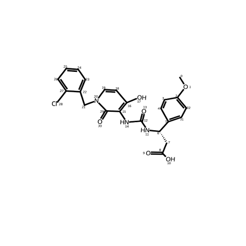 COc1ccc([C@H](CC(=O)O)NC(=O)Nc2c(O)ccn(Cc3ccccc3Cl)c2=O)cc1